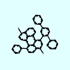 Ic1ccc2c3c(-c4ccccc4)ccc4c(I)cc(-c5cc(-c6ccccc6)ccc5-c5ccccc5)c(c5cccc1c25)c43